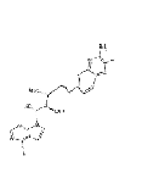 CS[C@H](CCc1ccc2cc(C)c(N)nc2c1)[C@@H](O)[C@@H](O)n1ccc2c(C)ncnc21